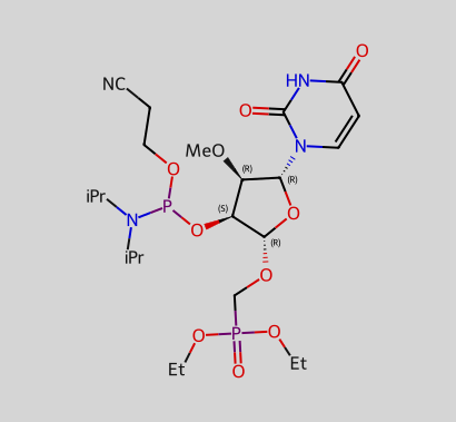 CCOP(=O)(CO[C@H]1O[C@@H](n2ccc(=O)[nH]c2=O)[C@H](OC)[C@@H]1OP(OCCC#N)N(C(C)C)C(C)C)OCC